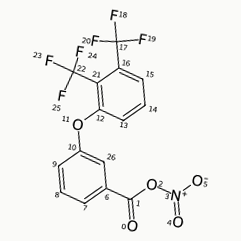 O=C(O[N+](=O)[O-])c1cccc(Oc2cccc(C(F)(F)F)c2C(F)(F)F)c1